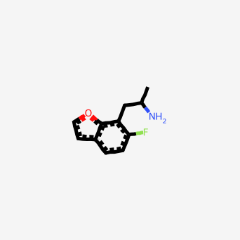 CC(N)Cc1c(F)ccc2ccoc12